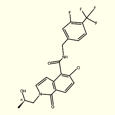 C[C@@H](O)Cn1ccc2c(C(=O)NCc3ccc(C(F)(F)F)c(F)c3)c(Cl)ccc2c1=O